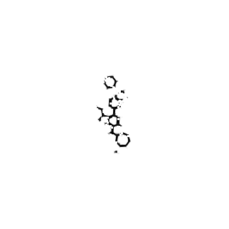 CCC1CNc2c(C(=O)C3CCCC[C@H](CO)C3)c(F)cc(-c3ccc4c(c3)ncn4C3CCCCC3)c21